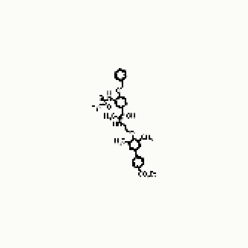 CCOC(=O)c1ccc(-c2cc(C)c(OCCN[C@@H](C)[C@@H](O)c3ccc(OCc4ccccc4)c(NS(C)(=O)=O)c3)c(C)c2)cc1